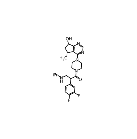 CC(C)NCC(C(=O)N1CCN(c2ncnc3c2[C@H](C)C[C@H]3O)CC1)c1ccc(F)c(F)c1